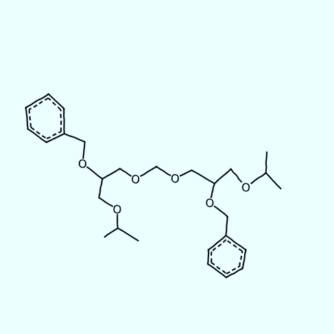 CC(C)OCC(COCOCC(COC(C)C)OCc1ccccc1)OCc1ccccc1